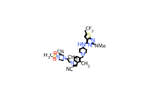 CNc1nc(NC2CCN(Cc3ccc4c(cc(C#N)n4C[C@H](C)N4CCN(S(C)(=O)=O)[C@H](C#N)C4)c3C)CC2)c2cc(CC(F)(F)F)sc2n1